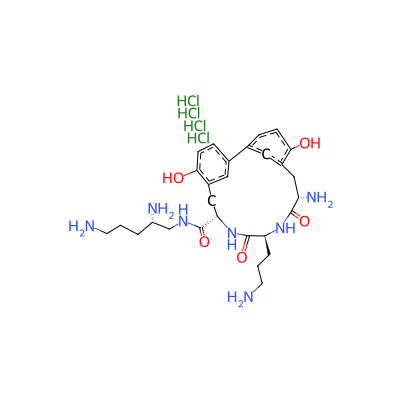 Cl.Cl.Cl.Cl.NCCC[C@H](N)CNC(=O)[C@@H]1Cc2cc(ccc2O)-c2ccc(O)c(c2)C[C@H](N)C(=O)N[C@@H](CCCN)C(=O)N1